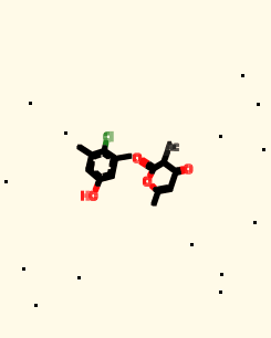 CC(=O)C1C(=O)C=C(C)OC1=O.Cc1cc(O)cc(C)c1Cl